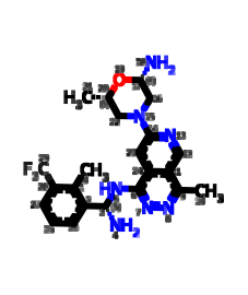 Cc1c([C@@H](N)Nc2nnc(C)c3cnc(N4C[C@@H](N)O[C@@H](C)C4)cc23)cccc1C(F)(F)F